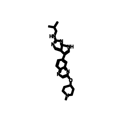 CC(C)CNc1ncc2c(-c3ccc4ncc(OC5CCN(C)CC5)nc4c3)c[nH]c2n1